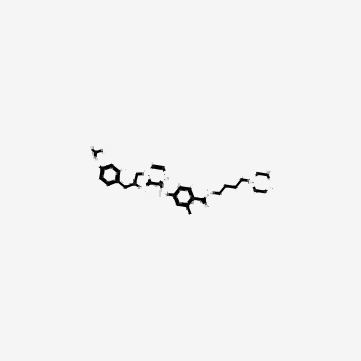 Cc1cc(NC2=NC=CN3CC(Cc4ccc(OC(F)F)cc4)N=C23)ccc1C(=O)NCCCCN1CCOCC1